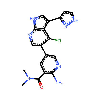 CN(C)C(=O)c1cc(-c2cnc3[nH]cc(-c4cc[nH]n4)c3c2Cl)cnc1N